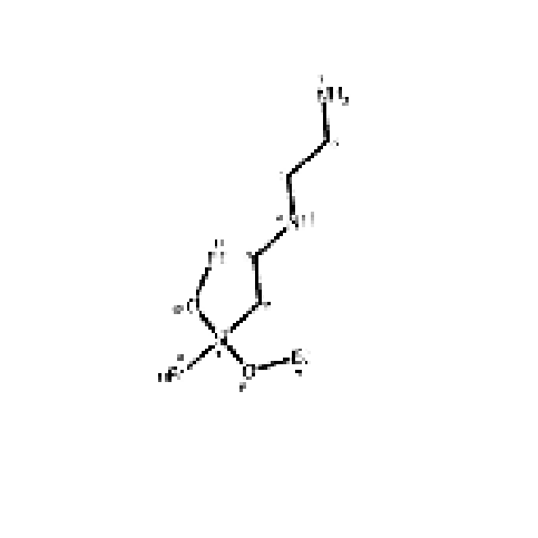 CCC[Si](CCNCCN)(OCC)OCC